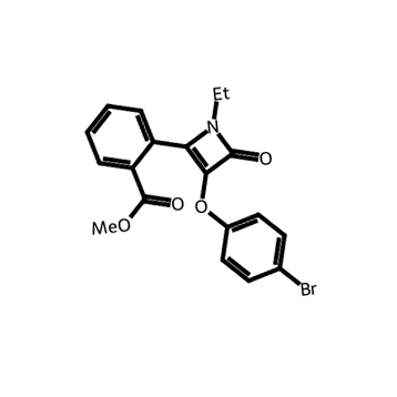 CCN1C(=O)C(Oc2ccc(Br)cc2)=C1c1ccccc1C(=O)OC